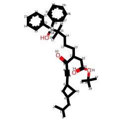 CC(C)CC1CC(C#CC(=O)C(CCCC(C)(C)[Si](O)(c2ccccc2)c2ccccc2)CC(=O)OC(C)(C)C)C1